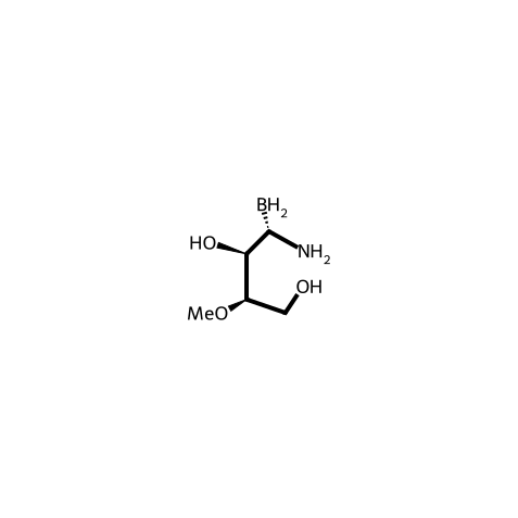 B[C@H](N)[C@H](O)[C@@H](CO)OC